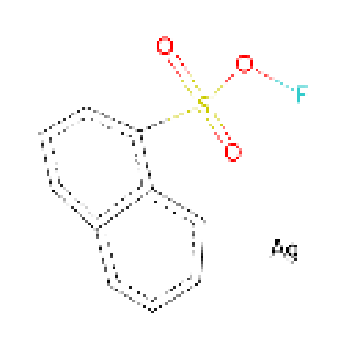 O=S(=O)(OF)c1cccc2ccccc12.[Ag+]